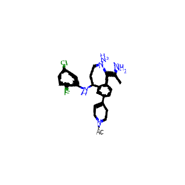 CC(=O)N1CC=C(c2ccc3c(c2)C(Nc2cc(Cl)ccc2F)CCN(N)/C3=C(/C)N)CC1